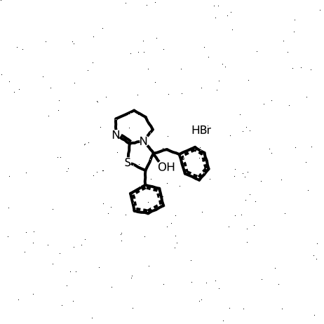 Br.OC1(Cc2ccccc2)C(c2ccccc2)SC2=NCCCCN21